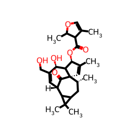 CC1=COC(C)C1C(=O)O[C@H]1C(C)=C[C@]23C(=O)[C@@H](C=C(CO)[C@@H](O)C12)C1C(C[C@H]3C)C1(C)C